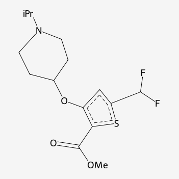 COC(=O)c1sc(C(F)F)cc1OC1CCN(C(C)C)CC1